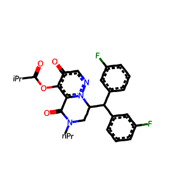 CCCN1CC(C(c2cccc(F)c2)c2cccc(F)c2)n2ncc(=O)c(OC(=O)C(C)C)c2C1=O